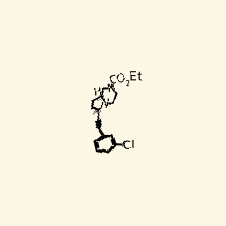 CCOC(=O)N1CCN2[C@@H](CC[C@@H]2C#Cc2cccc(Cl)c2)C1